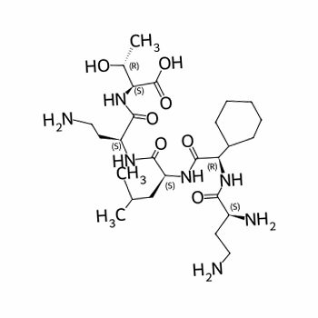 CC(C)C[C@H](NC(=O)[C@H](NC(=O)[C@@H](N)CCN)C1CCCCC1)C(=O)N[C@@H](CCN)C(=O)N[C@H](C(=O)O)[C@@H](C)O